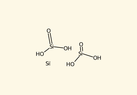 O=[Si](O)O.O=[Si](O)O.[Si]